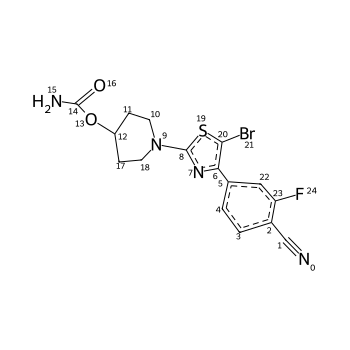 N#Cc1ccc(-c2nc(N3CCC(OC(N)=O)CC3)sc2Br)cc1F